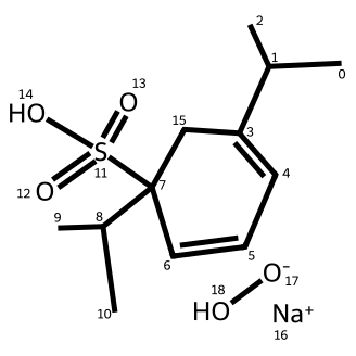 CC(C)C1=CC=CC(C(C)C)(S(=O)(=O)O)C1.[Na+].[O-]O